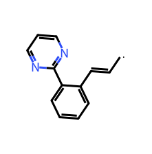 [CH2]/C=C/c1ccccc1-c1ncccn1